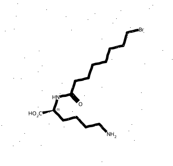 NCCCC[C@H](NC(=O)CCCCCCCBr)C(=O)O